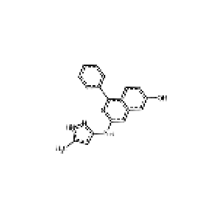 Cc1cc(Nc2cc3cc(O)ccc3c(-c3ccccc3)n2)n[nH]1